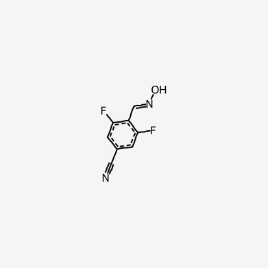 N#Cc1cc(F)c(C=NO)c(F)c1